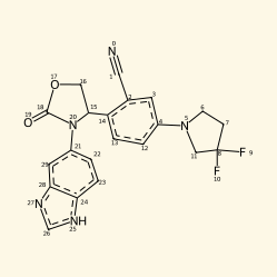 N#Cc1cc(N2CCC(F)(F)C2)ccc1C1COC(=O)N1c1ccc2[nH]cnc2c1